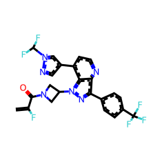 C=C(F)C(=O)N1CC(n2nc(-c3ccc(C(F)(F)F)cc3)c3nccc(-c4cnn(C(F)F)c4)c32)C1